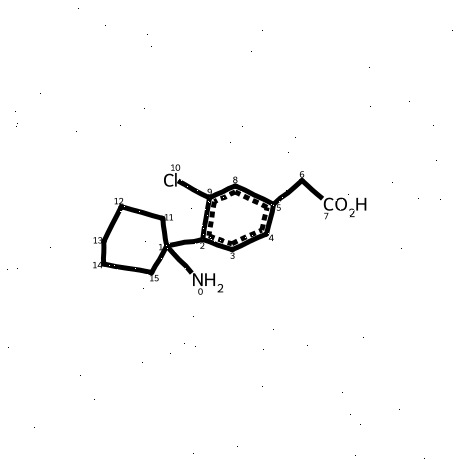 NC1(c2ccc(CC(=O)O)cc2Cl)CCCCC1